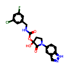 O=C(NCc1cc(F)cc(Cl)c1)OC1(O)CCN(c2ccc3[nH]ncc3c2)C1=O